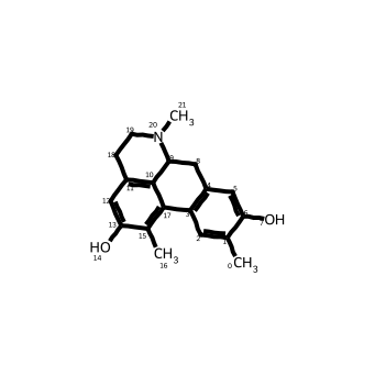 Cc1cc2c(cc1O)CC1c3c(cc(O)c(C)c3-2)CCN1C